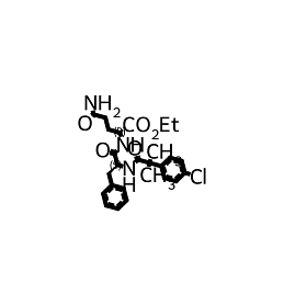 CCOC(=O)[C@@H](CCC(N)=O)NC(=O)[C@H](Cc1ccccc1)NC(=O)C(C)(C)c1ccc(Cl)cc1